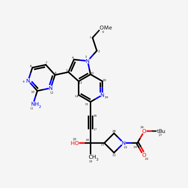 COCCn1cc(-c2ccnc(N)n2)c2cc(C#CC(C)(O)C3CN(C(=O)OC(C)(C)C)C3)ncc21